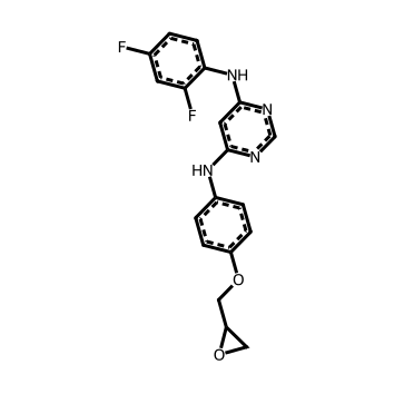 Fc1ccc(Nc2cc(Nc3ccc(OCC4CO4)cc3)ncn2)c(F)c1